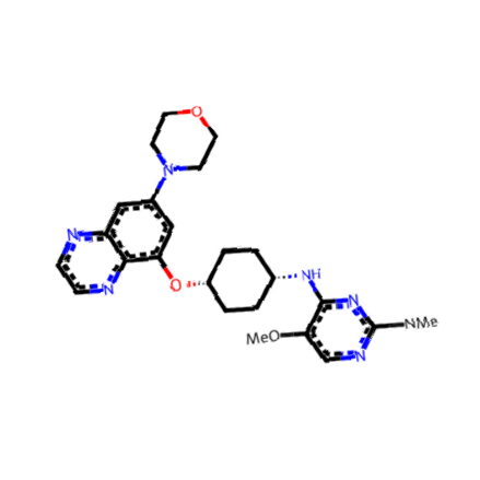 CNc1ncc(OC)c(N[C@H]2CC[C@@H](Oc3cc(N4CCOCC4)cc4nccnc34)CC2)n1